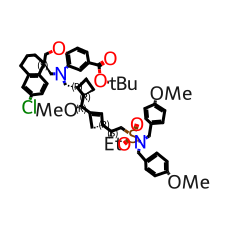 CC[C@H](CS(=O)(=O)N(Cc1ccc(OC)cc1)Cc1ccc(OC)cc1)[C@H]1C=C([C@H](OC)[C@@H]2CC[C@H]2CN2C[C@@]3(CCCc4cc(Cl)ccc43)COc3ccc(C(=O)OC(C)(C)C)cc32)C1